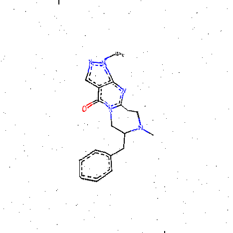 CC(C)n1ncc2c(=O)n3c(nc21)CN(C)C(Cc1ccccc1)C3